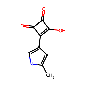 Cc1cc(-c2c(O)c(=O)c2=O)c[nH]1